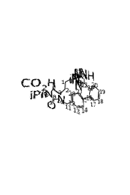 CC(C)CCc1c(C(=O)O)n(C(C)C)c(=O)n1Cc1ccc(-c2ccccc2-c2nnn[nH]2)cc1